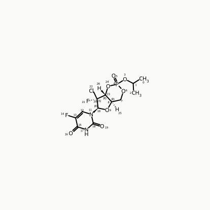 CC(C)OP1(=O)OC[C@H]2O[C@@H](n3cc(F)c(=O)[nH]c3=O)[C@@](F)(Cl)[C@@H]2O1